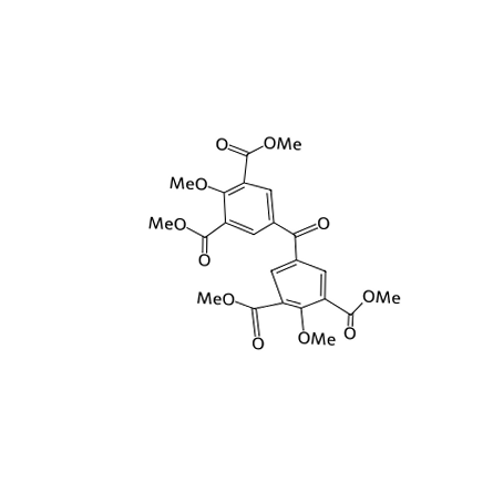 COC(=O)c1cc(C(=O)c2cc(C(=O)OC)c(OC)c(C(=O)OC)c2)cc(C(=O)OC)c1OC